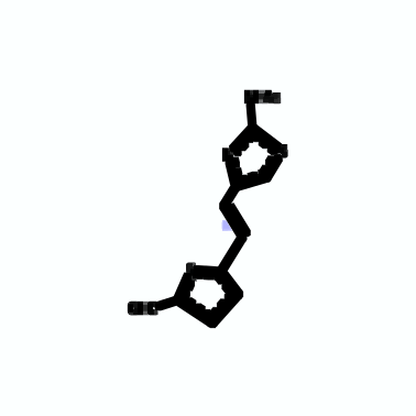 CC(=O)Nc1nc(/C=C/c2ccc(C=O)s2)cs1